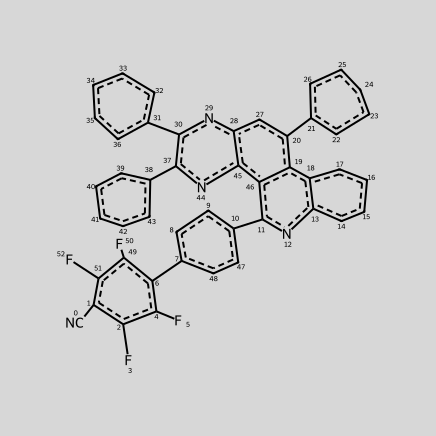 N#Cc1c(F)c(F)c(-c2ccc(-c3nc4ccccc4c4c(-c5ccccc5)cc5nc(-c6ccccc6)c(-c6ccccc6)nc5c34)cc2)c(F)c1F